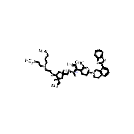 CNCCCN(CCOC1CC(C)(CN/C(C)=C(\C=N)c2ccc(N3CCc4cccc(-c5nc6ccccc6s5)c4C3)nc2C=O)CC1(C)CC(C)(C)C)CCS(=O)(=O)O